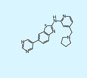 c1ncc(-c2ccc3nc(Nc4cc(CN5CCCC5)ccn4)sc3c2)cn1